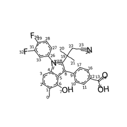 Cc1ccc2c(c1O)c(-c1ccc(C(=O)O)cc1)c(C(C)(C)CC#N)n2-c1ccc(F)c(F)c1